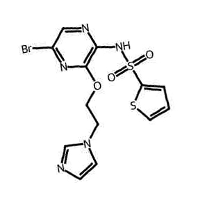 O=S(=O)(Nc1ncc(Br)nc1OCCn1ccnc1)c1cccs1